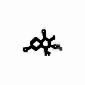 Cc1c(I)c(=O)c2ccc(Cl)cc2n1C(C)C